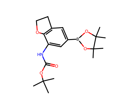 CC(C)(C)OC(=O)Nc1cc(B2OC(C)(C)C(C)(C)O2)cc2c1OCC2